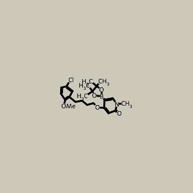 COc1ccc(Cl)cc1CCCCOc1cc(=O)n(C)cc1B1OC(C)(C)C(C)(C)O1